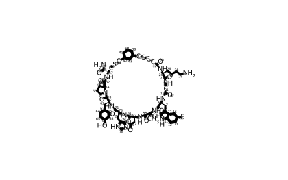 CC1(C)NC(=O)[C@H](Cc2c[nH]c3ccc(F)cc23)NC(=O)CNC(=O)[C@H](CCCCN)NC(=O)CCSCc2cccc(c2)CSC[C@@H](C(N)=O)NC(=O)[C@@H]2CCCN2C(=O)[C@H](Cc2ccc(O)cc2)NC(=O)[C@H](Cc2cnc[nH]2)NC(=O)[C@H](CC=O)NC1=O